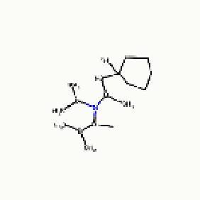 [2H]C1(BB(B)N(B(B)B)B(C)B(B)B)CCCCC1